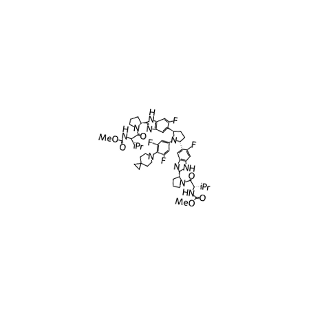 COC(=O)NC(C(=O)N1CCC[C@H]1c1nc2cc([C@H]3CC[C@H](c4cc5nc([C@@H]6CCCN6C(=O)[C@@H](NC(=O)OC)C(C)C)[nH]c5cc4F)N3c3cc(F)c(N4CCC5(CC4)CC5)c(F)c3)c(F)cc2[nH]1)C(C)C